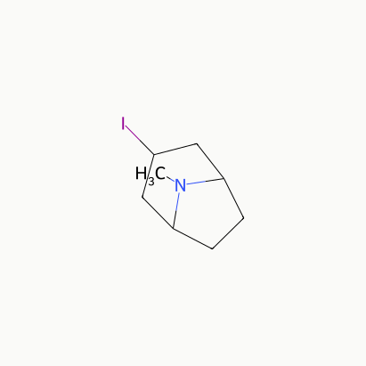 CN1C2CCC1CC(I)C2